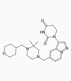 CC1(C)CN(Cc2ccn3ncc(N4CCC(=O)NC4=O)c3c2)CCN1CC1CCOCC1